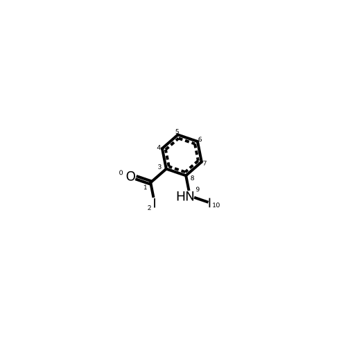 O=C(I)c1ccccc1NI